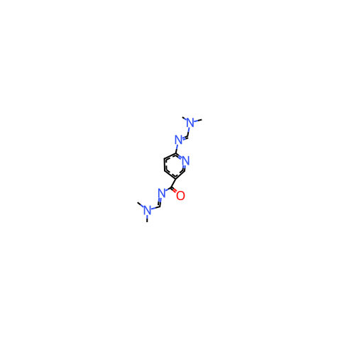 CN(C)C=NC(=O)c1ccc(N=CN(C)C)nc1